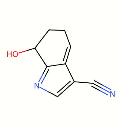 N#CC1=CN=C2C1=CCCC2O